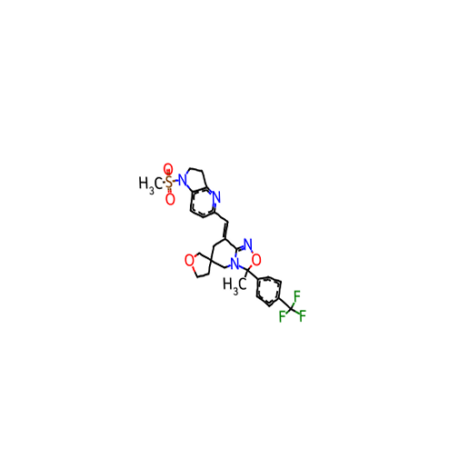 CC1(c2ccc(C(F)(F)F)cc2)ON=C2/C(=C/c3ccc4c(n3)CCN4S(C)(=O)=O)CC3(CCOC3)CN21